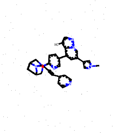 Cn1cc(-c2cc(-c3ccc(N4CC5CC(C4)N5CC#Cc4ccncc4)nc3)c3c(C#N)cnn3c2)cn1